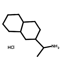 CC(N)C1CCC2CCCCC2C1.Cl